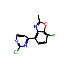 Cc1nc2c(-c3ccnc(Cl)n3)ccc(F)c2o1